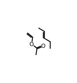 C=COC(C)=O.CC=CCC